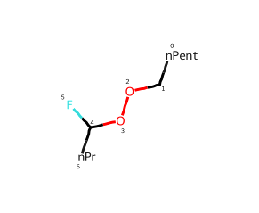 CCCCCCOOC(F)CCC